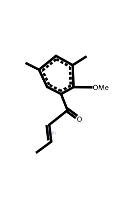 C/C=C/C(=O)c1cc(C)cc(C)c1OC